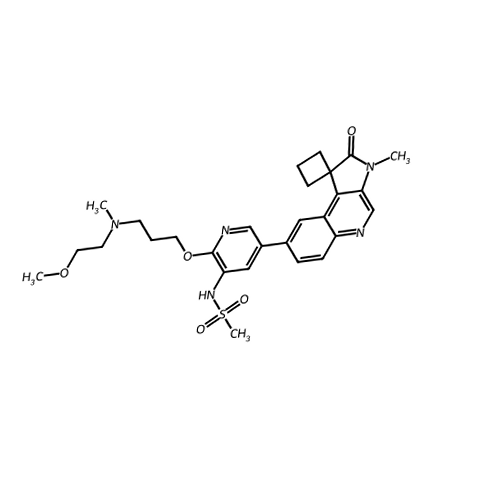 COCCN(C)CCCOc1ncc(-c2ccc3ncc4c(c3c2)C2(CCC2)C(=O)N4C)cc1NS(C)(=O)=O